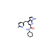 Cc1ccc(Cc2cc(C(=O)NC3CCCCC3)nc3c2ccn3C)cn1